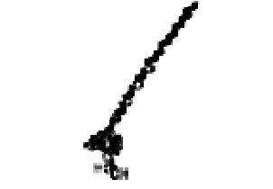 CCCCCCCCCCCCCCCOCCCOCCCOCCCOCCC[Si](C)(O[Si](C)(C)O[Si](C)(C)C)O[Si](C)(CCCOCC(O)CO)O[Si](C)(C)C